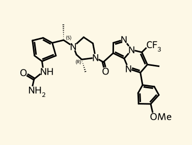 COc1ccc(-c2nc3c(C(=O)N4CCN([C@@H](C)c5cccc(NC(N)=O)c5)C[C@H]4C)cnn3c(C(F)(F)F)c2C)cc1